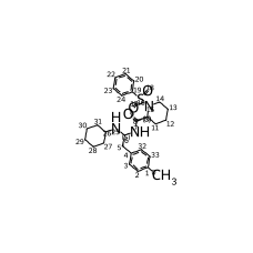 Cc1ccc(C[C@H](NC(=O)[C@@H]2CCCCN2S(=O)(=O)c2ccccc2)NC2CCCCC2)cc1